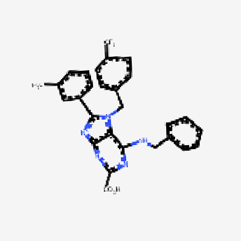 Cc1cccc(-c2nc3nc(C(=O)O)nc(NCc4ccccc4)c3n2Cc2ccc(C(F)(F)F)cc2)c1